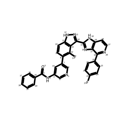 O=C(Nc1cncc(-c2ccc3[nH]nc(-c4nc5c(-c6ccc(F)cc6)nccc5[nH]4)c3c2F)c1)c1ccccc1